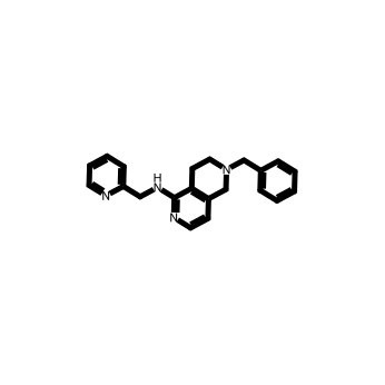 c1ccc(CN2CCc3c(ccnc3NCc3ccccn3)C2)cc1